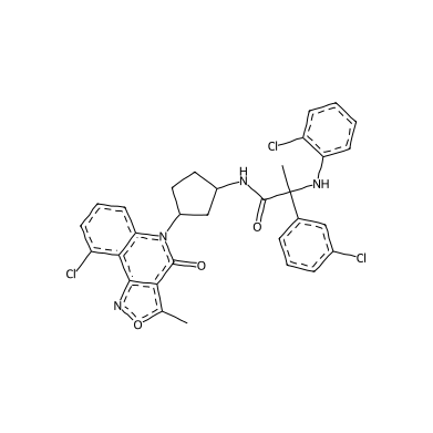 Cc1onc2c1c(=O)n(C1CCC(NC(=O)C(C)(Nc3ccccc3Cl)c3cccc(Cl)c3)C1)c1cccc(Cl)c21